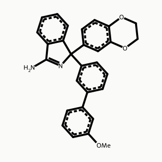 COc1cccc(-c2cccc(C3(c4ccc5c(c4)OCCO5)N=C(N)c4ccccc43)c2)c1